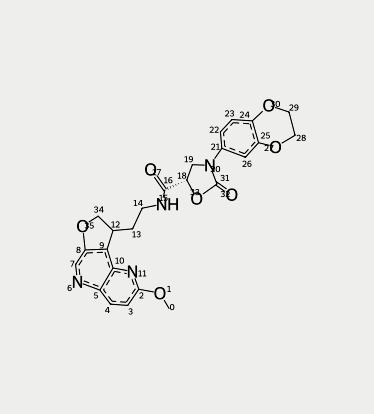 COc1ccc2ncc3c(c2n1)C(CCNC(=O)[C@@H]1CN(c2ccc4c(c2)OCCO4)C(=O)O1)CO3